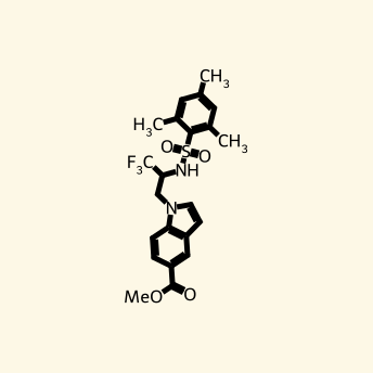 COC(=O)c1ccc2c(ccn2CC(NS(=O)(=O)c2c(C)cc(C)cc2C)C(F)(F)F)c1